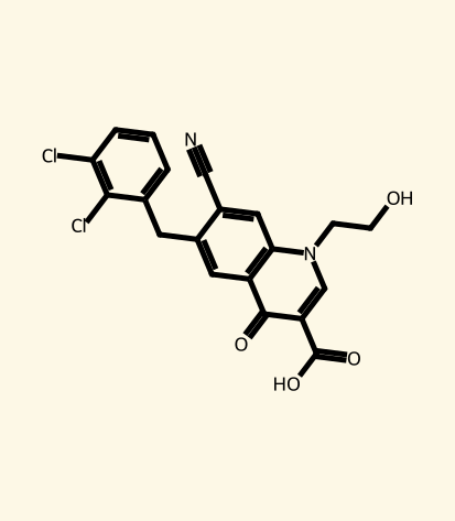 N#Cc1cc2c(cc1Cc1cccc(Cl)c1Cl)c(=O)c(C(=O)O)cn2CCO